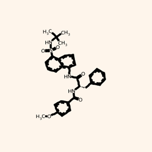 COc1ccc(C(=O)N[C@@H](Cc2ccccc2)C(=O)Nc2cccc3c(S(=O)(=O)NC(C)(C)C)cccc23)cc1